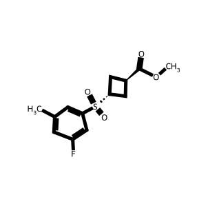 COC(=O)[C@H]1C[C@H](S(=O)(=O)c2cc(C)cc(F)c2)C1